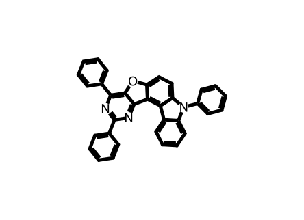 c1ccc(-c2nc(-c3ccccc3)c3oc4ccc5c(c6ccccc6n5-c5ccccc5)c4c3n2)cc1